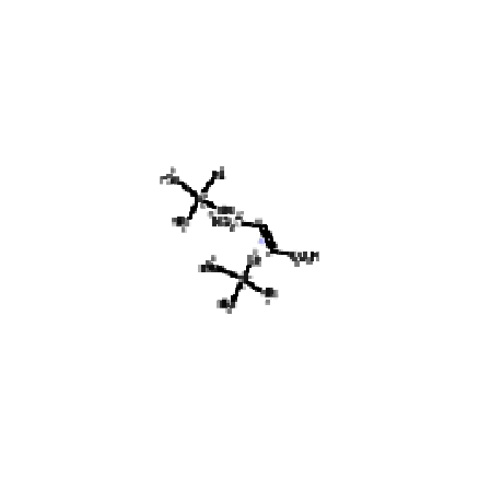 CCCC[N+](CC)(CCCC)CCCC.CCCC[N+](CC)(CCCC)CCCC.O=C(O)/C=C/C(=O)O